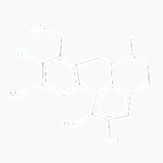 COc1cc2c(c(CN)c1O)CC1c3c(cc(O)c(OC)c3-2)CCN1C